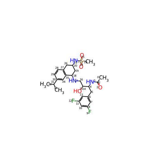 CC(=O)NC(Cc1cc(F)cc(F)c1)C(O)CNC1CC(NS(C)(=O)=O)Cc2ccc(C(C)C)cc21